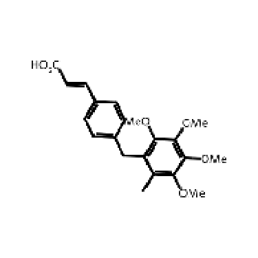 COc1c(C)c(Cc2ccc(/C=C/C(=O)O)cc2)c(OC)c(OC)c1OC